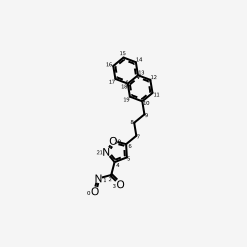 O=NC(=O)c1cc(CCCc2ccc3ccccc3c2)on1